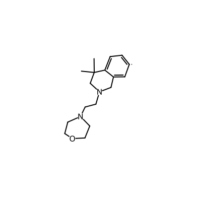 CC1(C)CN(CCN2CCOCC2)Cc2c[c]ccc21